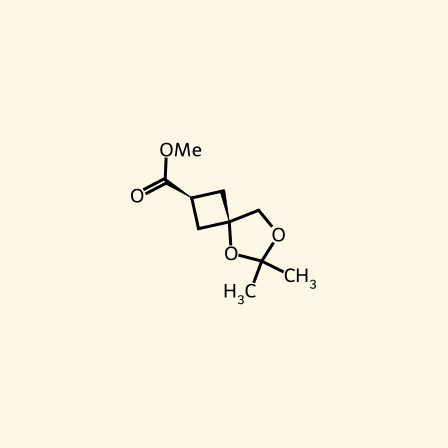 COC(=O)[C@H]1C[C@]2(COC(C)(C)O2)C1